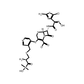 C[N+](C)(O)C(=O)[C@@H](N)CSCc1cnccc1SC1=C(C(=O)[O-])N2C(=O)[C@@H](NC(=O)/C(=N\O)c3nc(N)sc3Cl)[C@@H]2SC1